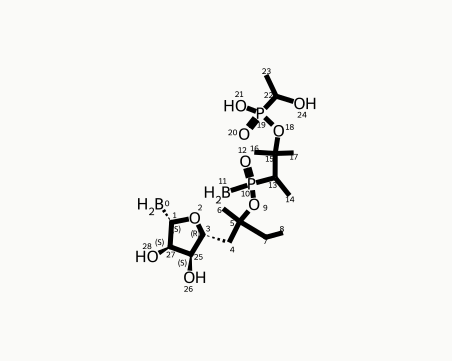 B[C@@H]1O[C@H](CC(C)(CC)OP(B)(=O)C(C)C(C)(C)OP(=O)(O)C(C)O)[C@@H](O)[C@H]1O